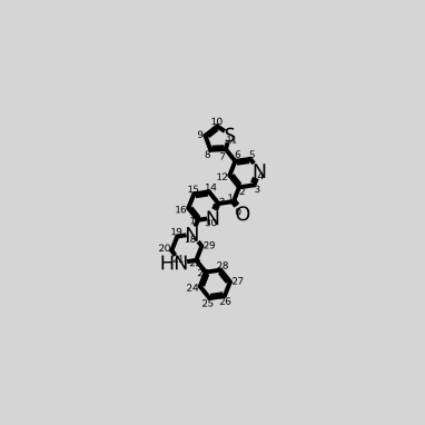 O=C(c1cncc(-c2cccs2)c1)c1cccc(N2CCNC(c3ccccc3)C2)n1